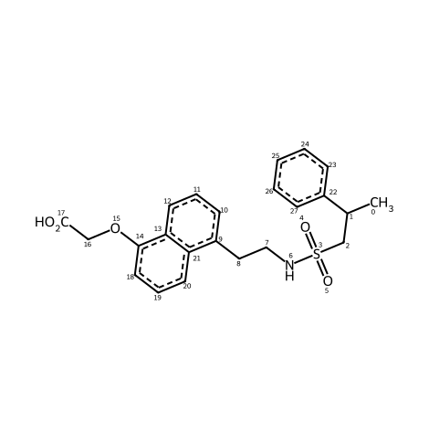 CC(CS(=O)(=O)NCCc1cccc2c(OCC(=O)O)cccc12)c1ccccc1